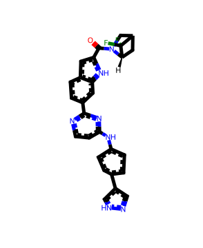 O=C(c1cc2ccc(-c3nccc(Nc4ccc(-c5cn[nH]c5)cc4)n3)cc2[nH]1)N1CC2C[C@H]1C2(F)F